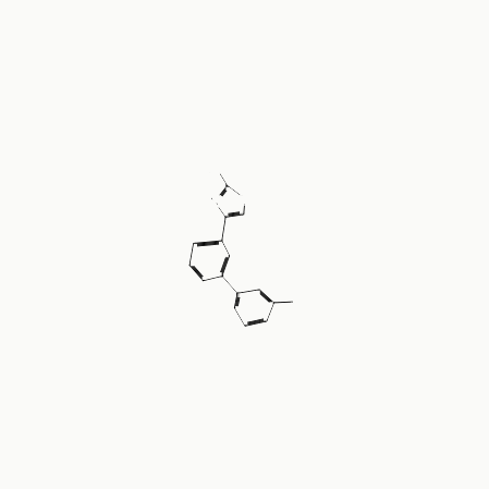 Cc1nc(-c2cccc(-c3cccc(F)c3)c2)cs1